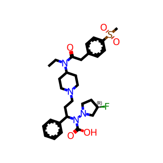 CCN(C(=O)Cc1ccc(S(C)(=O)=O)cc1)C1CCN(CCC(c2ccccc2)N(C(=O)O)N2CC[C@@H](F)C2)CC1